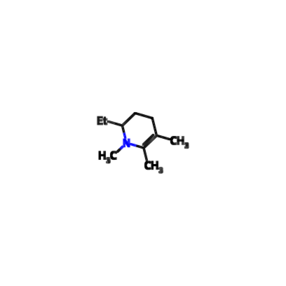 CCC1CCC(C)=C(C)N1C